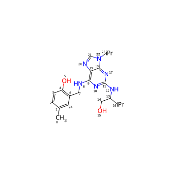 Cc1ccc(O)c(CNc2nc(NC(CO)C(C)C)nc3c2ncn3C(C)C)c1